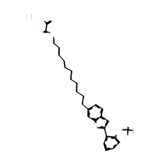 C=C(C)C(=O)OCCCCCCCCCCCc1ccc2cc(-c3ccccc3OC(F)(F)F)oc2c1